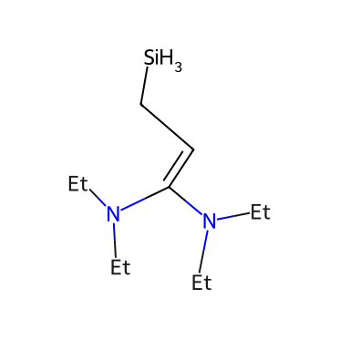 CCN(CC)C(=CC[SiH3])N(CC)CC